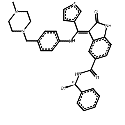 CC[C@@H](NC(=O)c1ccc2c(c1)C(=C(Nc1ccc(CN3CCN(C)CC3)cc1)c1ccsc1)C(=O)N2)c1ccccc1